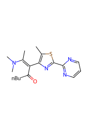 CCCCC(=O)/C(=C(/C)N(C)C)c1nc(-c2ncccn2)sc1C